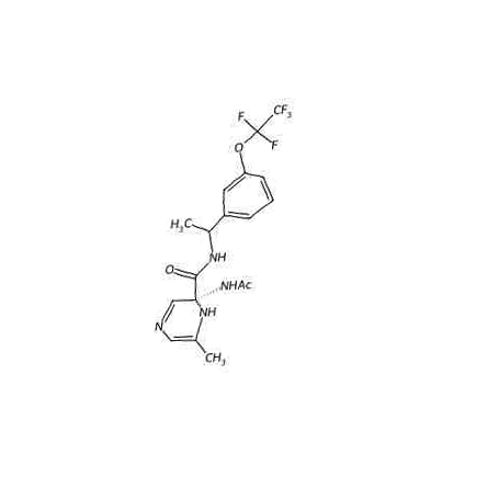 CC(=O)N[C@@]1(C(=O)NC(C)c2cccc(OC(F)(F)C(F)(F)F)c2)C=NC=C(C)N1